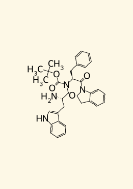 CC(C)(C)OC(=O)N(C(=O)[C@@H](N)Cc1c[nH]c2ccccc12)[C@@H](Cc1ccccc1)C(=O)N1CCc2ccccc21